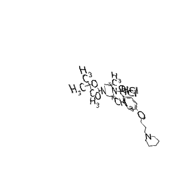 C[C@@H]1CN(C(=O)OC(C)(C)C)C[C@H](C)N1C(=O)c1ccc(OCCCN2CCCCC2)cc1.Cl.Cl